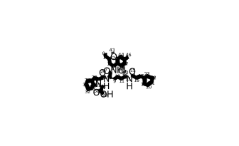 CCCCC(NC(=O)[C@@H](CCCCNC(=O)C=Cc1ccccc1)NC(=O)c1cc2ccccc2n1CC(=O)O)c1c(OC)cc(C)cc1OC